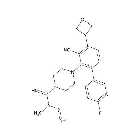 CN(C=N)C(=N)C1CCN(c2c(-c3ccc(F)nc3)ccc(C3COC3)c2C#N)CC1